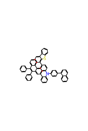 c1ccc(-c2c(-c3ccccc3)c3cc(-c4ccccc4N(c4ccc(-c5cccc6ccccc56)cc4)c4ccc(-c5cccc6c5sc5ccccc56)cc4)ccc3c3ccccc23)cc1